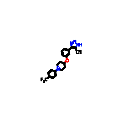 N#Cc1[nH]nnc1-c1cccc(OC2CCN(c3ccc(C(F)(F)F)cc3)CC2)c1